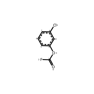 O=C(F)Oc1cccc(Cl)c1